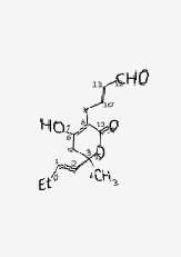 CCC=CC1(C)CC(O)=C(CCCC=O)C(=O)O1